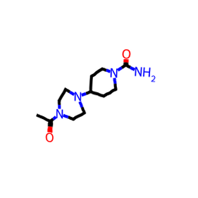 CC(=O)N1CCN(C2CCN(C(N)=O)CC2)CC1